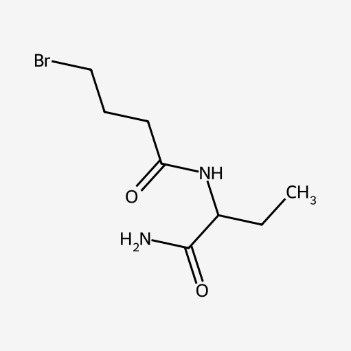 CCC(NC(=O)CCCBr)C(N)=O